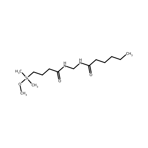 CCCCCC(=O)NCNC(=O)CCC[Si](C)(C)OC